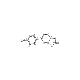 Clc1ccc(C2=CCC3CNCC3C2)cn1